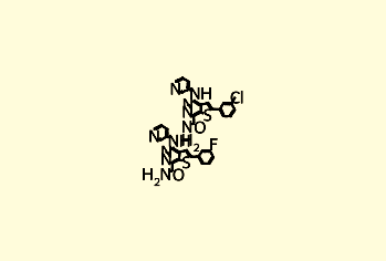 NC(=O)c1nnc(Nc2cccnc2)c2cc(-c3cccc(Cl)c3)sc12.NC(=O)c1nnc(Nc2cccnc2)c2cc(-c3cccc(F)c3)sc12